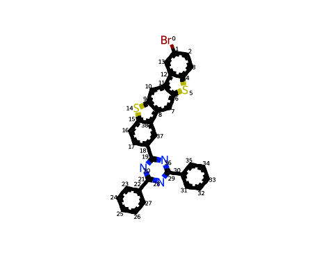 Brc1ccc2sc3cc4c(cc3c2c1)sc1ccc(-c2nc(-c3ccccc3)nc(-c3ccccc3)n2)cc14